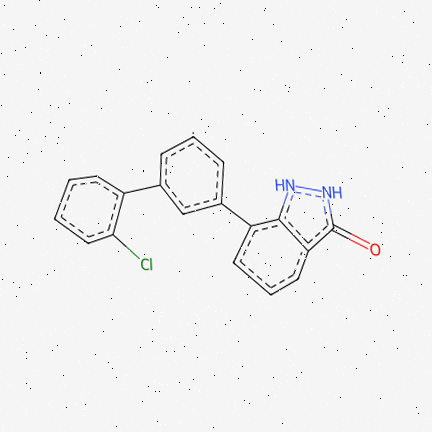 O=c1[nH][nH]c2c(-c3c[c]cc(-c4ccccc4Cl)c3)cccc12